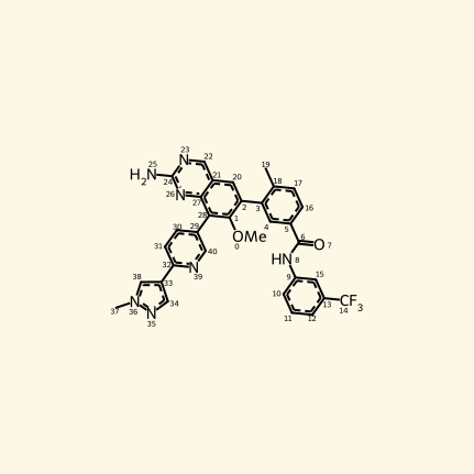 COc1c(-c2cc(C(=O)Nc3cccc(C(F)(F)F)c3)ccc2C)cc2cnc(N)nc2c1-c1ccc(-c2cnn(C)c2)nc1